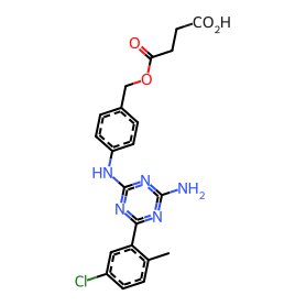 Cc1ccc(Cl)cc1-c1nc(N)nc(Nc2ccc(COC(=O)CCC(=O)O)cc2)n1